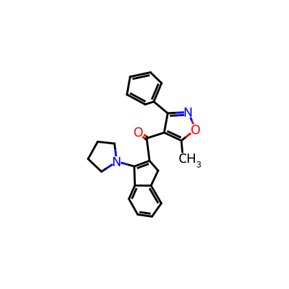 Cc1onc(-c2ccccc2)c1C(=O)C1=C(N2CCCC2)c2ccccc2C1